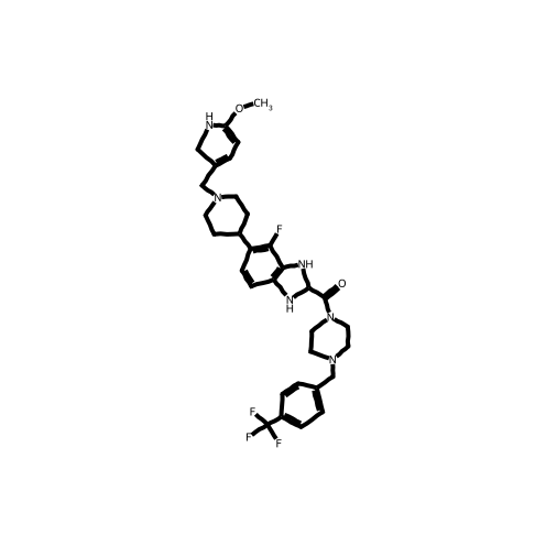 COC1=CC=C(CN2CCC(c3ccc4c(c3F)NC(C(=O)N3CCN(Cc5ccc(C(F)(F)F)cc5)CC3)N4)CC2)CN1